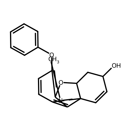 CN1CCC23C=CC(O)CC2Oc2c(Oc4ccccc4)ccc(c23)C1